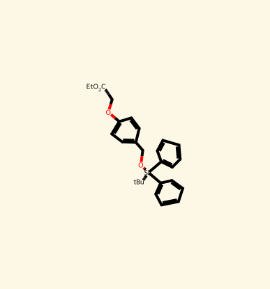 CCOC(=O)COc1ccc(CO[Si](c2ccccc2)(c2ccccc2)C(C)(C)C)cc1